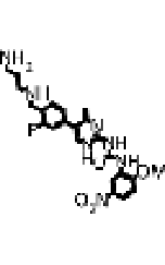 C=C1N=C(NC(=O)Nc2cc([N+](=O)[O-])ccc2OC)NC=C1c1ccc(CNCCCN)c(F)c1